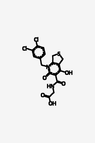 O=C(O)CNC(=O)c1c(O)c2c(n(Cc3ccc(Cl)c(Cl)c3)c1=O)CSC2